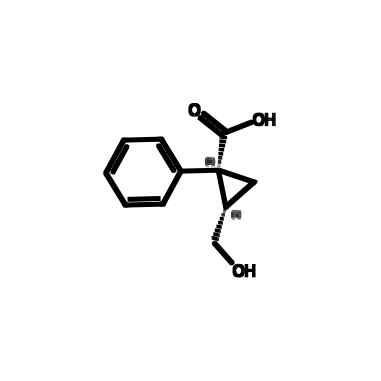 O=C(O)[C@]1(c2ccccc2)C[C@@H]1CO